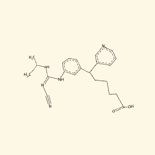 CC(C)N/C(=N/C#N)Nc1cccc(C(CCCCC(=O)O)c2cccnc2)c1